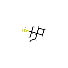 CCC1(C(C)(C)S)CCC1